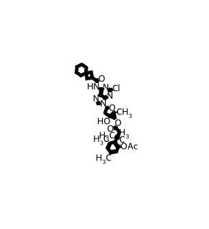 CC(=O)Oc1cc(C)cc(C)c1C(C)(C)CC(=O)OC1[C@]2(O)C[C@H](n3cnc4c(NC(=O)C5CC6(CCCCC6)C5)nc(Cl)nc43)O[C@]12C